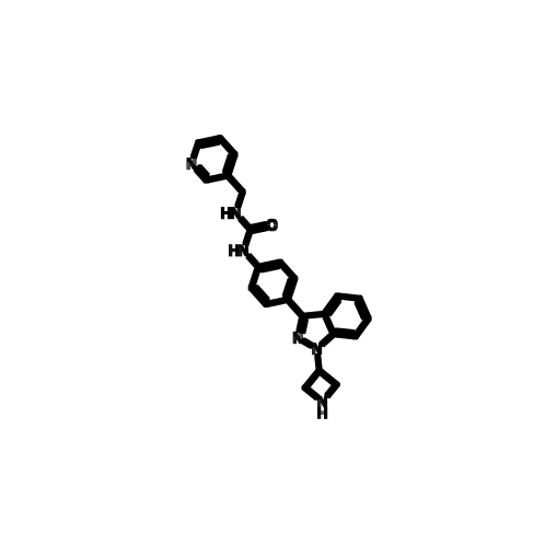 O=C(NCc1cccnc1)Nc1ccc(-c2nn(C3CNC3)c3ccccc23)cc1